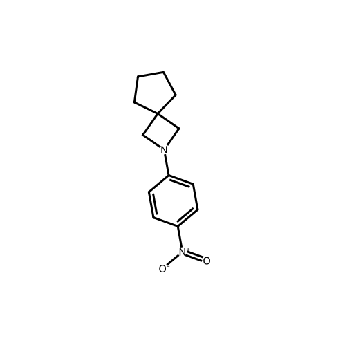 O=[N+]([O-])c1ccc(N2CC3(CCCC3)C2)cc1